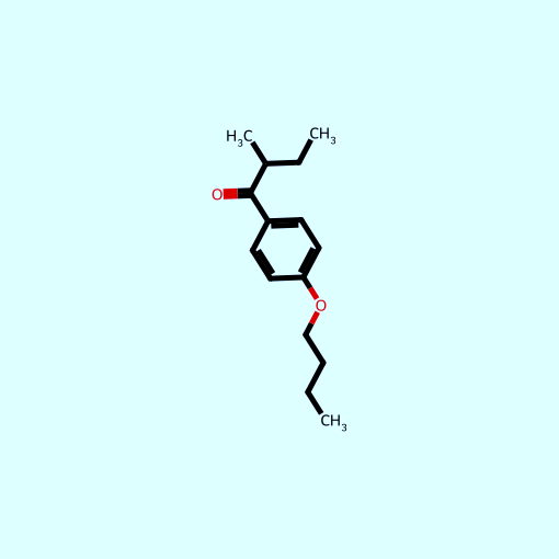 CCCCOc1ccc(C(=O)C(C)CC)cc1